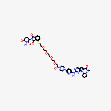 CN(C)C(=O)c1cc2cnc(Nc3ccc(N4CCN(C(=O)COCCOCCOCCOCCSc5cccc6c5C(=O)N(C5CCC(=O)NC5=O)C6=O)CC4)cn3)nc2n1C1CCCC1